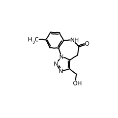 Cc1ccc2c(c1)-n1nnc(CO)c1CC(=O)N2